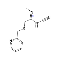 C/N=C(\CSCc1ccccn1)NC#N